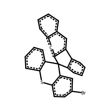 Brc1ccc2c(c1)C1(c3ccccc3S2)c2ccccc2-c2cc3ccccc3cc21